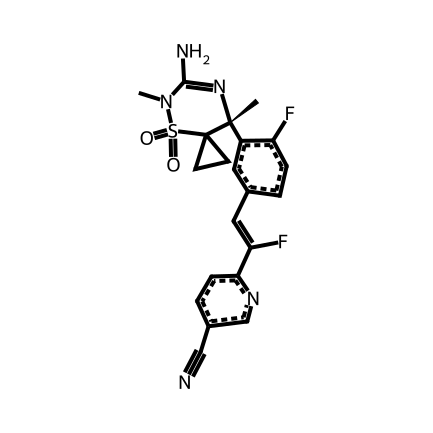 CN1C(N)=N[C@](C)(c2cc(/C=C(\F)c3ccc(C#N)cn3)ccc2F)C2(CC2)S1(=O)=O